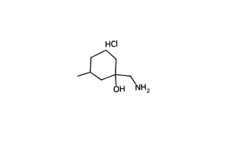 CC1CCCC(O)(CN)C1.Cl